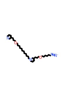 [N-]=[N+]=NCCCCCCOCCCc1ccc[n+](CCCCCCCCCCCCOCCCc2cccnc2)c1